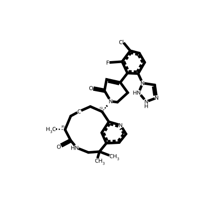 C[C@@H]1CCC[C@H](N2CCC(c3c(N4C=NNN4)ccc(Cl)c3F)=CC2=O)c2cc(ccn2)C(C)(C)CNC1=O